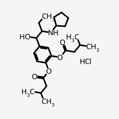 CCC(NC1CCCC1)C(O)c1ccc(OC(=O)CC(C)C)c(OC(=O)CC(C)C)c1.Cl